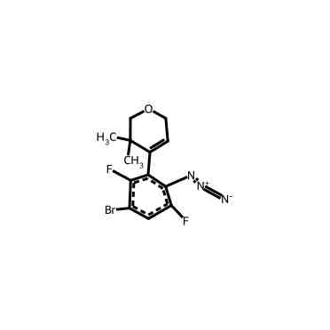 CC1(C)COCC=C1c1c(F)c(Br)cc(F)c1N=[N+]=[N-]